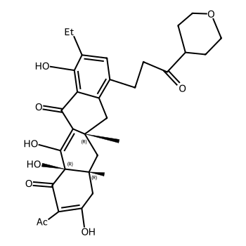 CCc1cc(CCC(=O)C2CCOCC2)c2c(c1O)C(=O)C1=C(O)[C@@]3(O)C(=O)C(C(C)=O)=C(O)C[C@@]3(C)C[C@@]1(C)C2